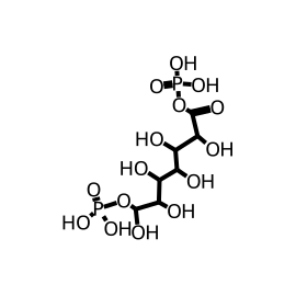 O=C(OP(=O)(O)O)C(O)C(O)C(O)C(O)C(O)C(O)OP(=O)(O)O